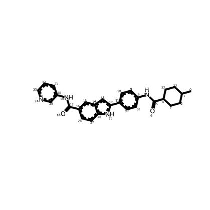 CC1CCC(C(=O)Nc2ccc(-c3cc4cc(C(=O)Nc5cccnc5)ccc4[nH]3)cc2)CC1